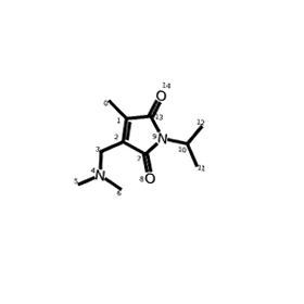 CC1=C(CN(C)C)C(=O)N(C(C)C)C1=O